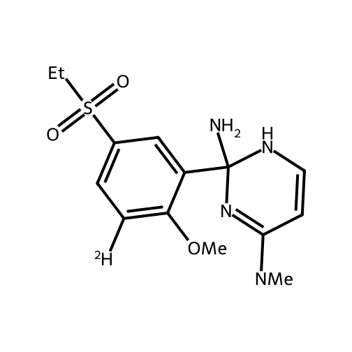 [2H]c1cc(S(=O)(=O)CC)cc(C2(N)N=C(NC)C=CN2)c1OC